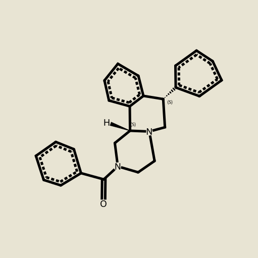 O=C(c1ccccc1)N1CCN2C[C@@H](c3ccccc3)c3ccccc3[C@H]2C1